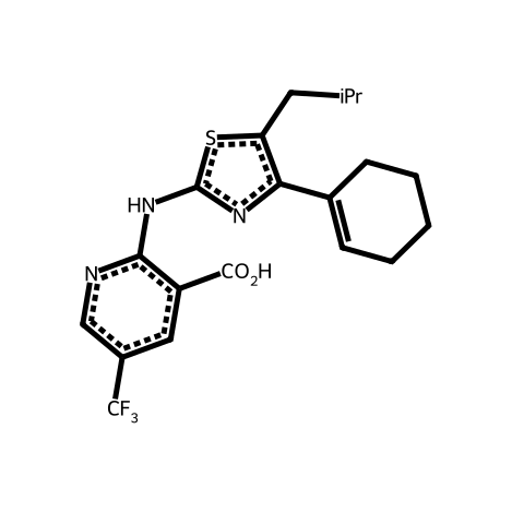 CC(C)Cc1sc(Nc2ncc(C(F)(F)F)cc2C(=O)O)nc1C1=CCCCC1